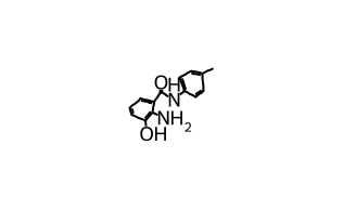 Cc1ccc(NC(=O)c2cccc(O)c2N)cc1